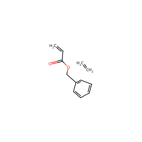 C=C.C=CC(=O)OCc1ccccc1